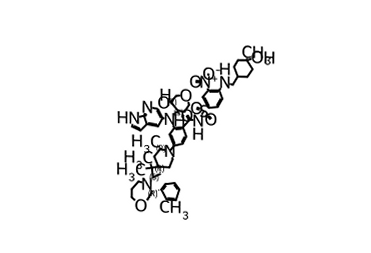 Cc1ccccc1[C@@H]1COCCCN1[C@H]1C[C@]2(CCN(c3ccc(C(=O)NS(=O)(=O)c4ccc(NCC5CCC(C)(O)CC5)c([N+](=O)[O-])c4)c(N4c5cc6cc[nH]c6nc5O[C@H]5COCC[C@@H]54)c3)[C@H](C)C2)C1(C)C